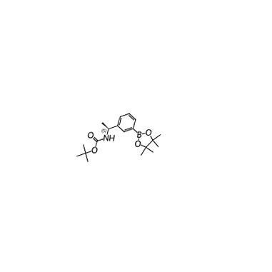 C[C@H](NC(=O)OC(C)(C)C)c1cccc(B2OC(C)(C)C(C)(C)O2)c1